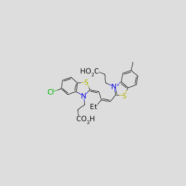 CCC(=Cc1sc2ccc(C)cc2[n+]1CCC(=O)O)C=C1Sc2ccc(Cl)cc2N1CCC(=O)O